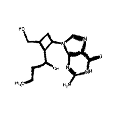 CCCC(O)C1C(CO)CC1n1cnc2c(=O)[nH]c(N)nc21